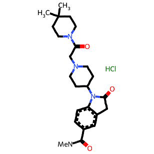 CNC(=O)c1ccc2c(c1)CC(=O)N2C1CCN(CC(=O)N2CCC(C)(C)CC2)CC1.Cl